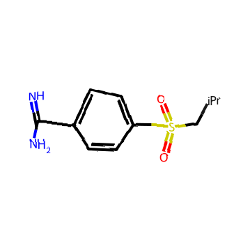 CC(C)CS(=O)(=O)c1ccc(C(=N)N)cc1